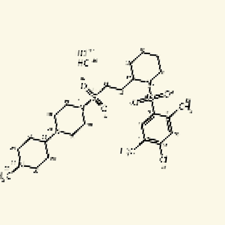 Cc1cc(S(=O)(=O)N2CCCCC2CCS(=O)(=O)N2CCN(C3CCN(C)CC3)CC2)c(C)cc1Cl.Cl.Cl